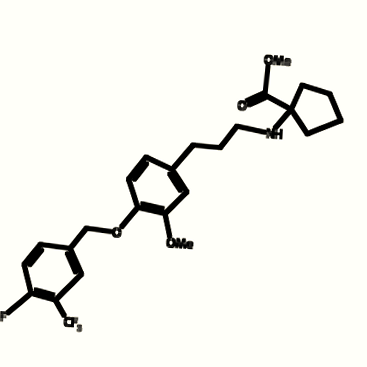 COC(=O)C1(NCCCc2ccc(OCc3ccc(F)c(C(F)(F)F)c3)c(OC)c2)CCCC1